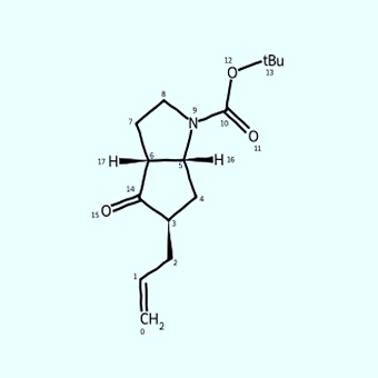 C=CC[C@@H]1C[C@@H]2[C@@H](CCN2C(=O)OC(C)(C)C)C1=O